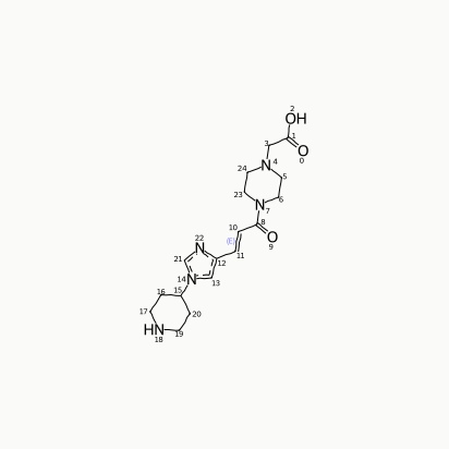 O=C(O)CN1CCN(C(=O)/C=C/c2cn(C3CCNCC3)cn2)CC1